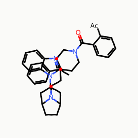 CC(=O)c1ccccc1C(=O)N1CCC(CCN2C3CCC2CC(n2c(C)nc4ccccc42)C3)(c2ccccc2)CC1